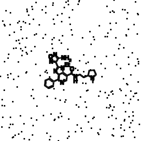 CCn1c(-c2nonc2N)nc2c(-c3ccccc3)ncc(C(=O)NCCC3CCCN3C)c21